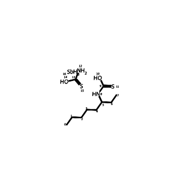 CCCCCC(CC)NC(O)=S.NC(O)=S.[SbH3]